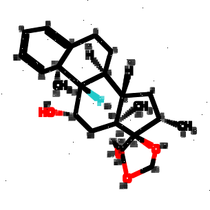 C[C@H]1C[C@H]2[C@@H]3CCC4=CC=C=C[C@]4(C)[C@@]3(F)[C@@H](O)C[C@]2(C)[C@]12OCOC21COCO1